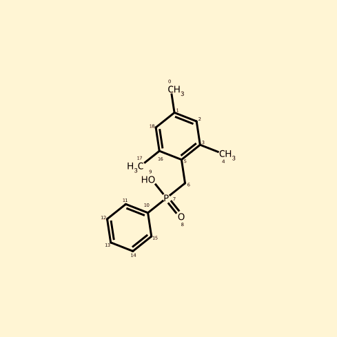 Cc1cc(C)c(CP(=O)(O)c2ccccc2)c(C)c1